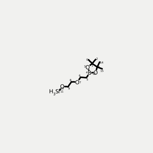 CC1(C)OB(CCOCCO[SiH3])OC1(C)C